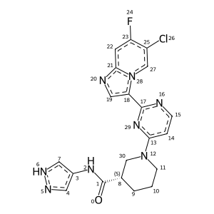 O=C(Nc1cn[nH]c1)[C@H]1CCCN(c2ccnc(-c3cnc4cc(F)c(Cl)cn34)n2)C1